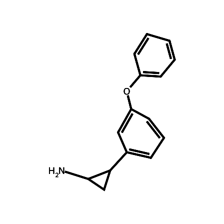 NC1CC1c1cccc(Oc2ccccc2)c1